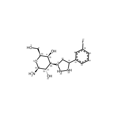 N[C@H]1O[C@@H](CO)[C@@H](O)[C@@H](N2CC(c3cccc(F)c3)NN2)[C@@H]1O